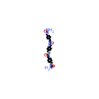 NC(=O)/N=C/c1ccc(/C=N/C(=O)/N=C/c2ccc(/C=N/C(=O)/N=C/c3ccc(/C=N/C(N)=O)cc3)cc2)cc1